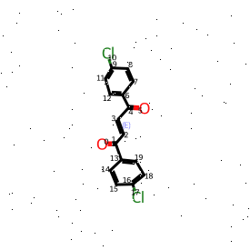 O=C(/C=C/C(=O)c1ccc(Cl)cc1)c1ccc(Cl)cc1